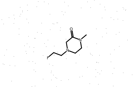 CN1CCN(CCI)CC1=O